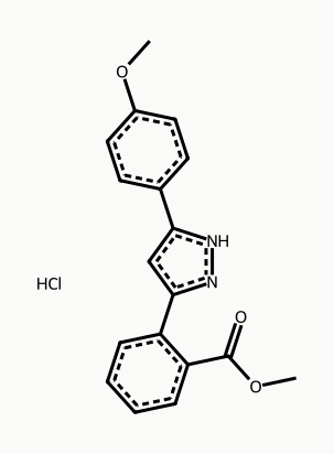 COC(=O)c1ccccc1-c1cc(-c2ccc(OC)cc2)[nH]n1.Cl